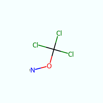 [N]OC(Cl)(Cl)Cl